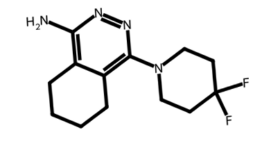 Nc1nnc(N2CCC(F)(F)CC2)c2c1CCCC2